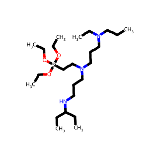 CCCN(CC)CCCN(CCCNC(CC)CC)CC[Si](OCC)(OCC)OCC